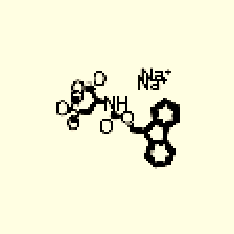 O=C(NC(CS(=O)(=O)[O-])C(=O)[O-])OCC1c2ccccc2-c2ccccc21.[Na+].[Na+]